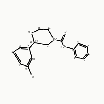 O=C(Oc1ccccc1)N1CCO[C@H](c2cccc(F)c2)C1